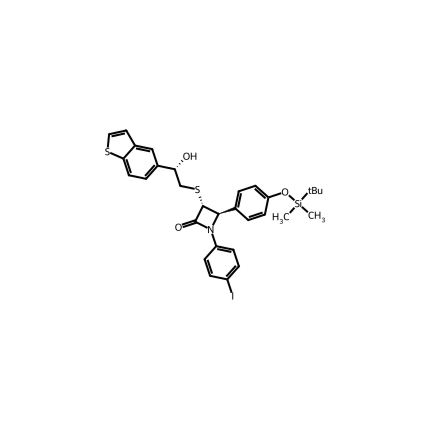 CC(C)(C)[Si](C)(C)Oc1ccc([C@@H]2[C@@H](SC[C@@H](O)c3ccc4sccc4c3)C(=O)N2c2ccc(I)cc2)cc1